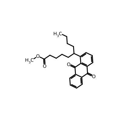 CCCCC(CCCCC(=O)OC)c1cccc2c1C(=O)c1ccccc1C2=O